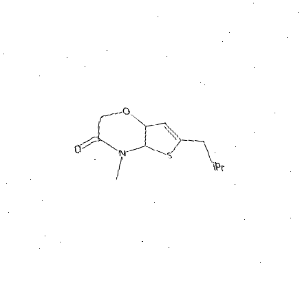 CC(C)CC1=CC2OCC(=O)N(C)C2S1